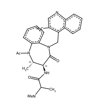 CNC(C)C(=O)N[C@@H]1C(=O)N(Cc2c(C)cnc3ccccc23)c2ccccc2N(C(C)=O)[C@H]1C